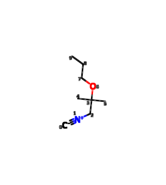 [C-]#[N+]CC(C)(C)OCCC